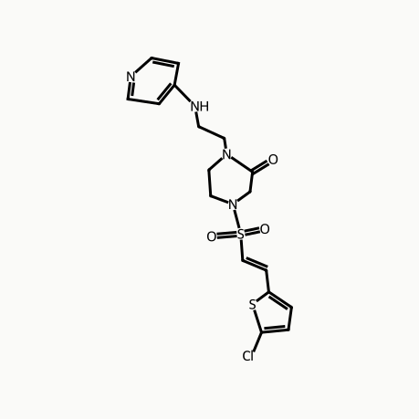 O=C1CN(S(=O)(=O)/C=C/c2ccc(Cl)s2)CCN1CCNc1ccncc1